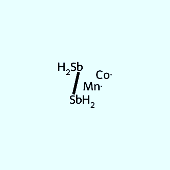 [Co].[Mn].[SbH2][SbH2]